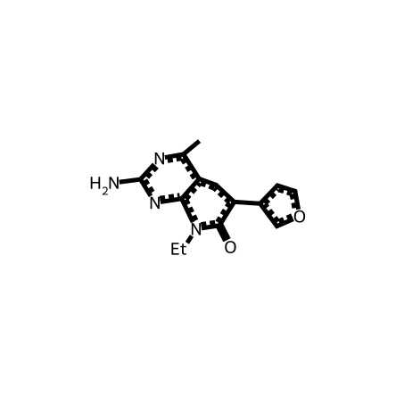 CCn1c(=O)c(-c2ccoc2)cc2c(C)nc(N)nc21